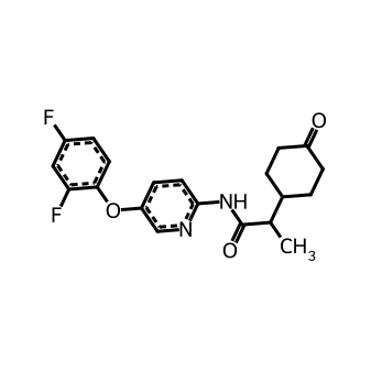 CC(C(=O)Nc1ccc(Oc2ccc(F)cc2F)cn1)C1CCC(=O)CC1